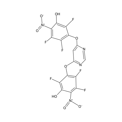 O=[N+]([O-])c1c(O)c(F)c(Oc2cc(Oc3c(F)c(O)c([N+](=O)[O-])c(F)c3F)ncn2)c(F)c1F